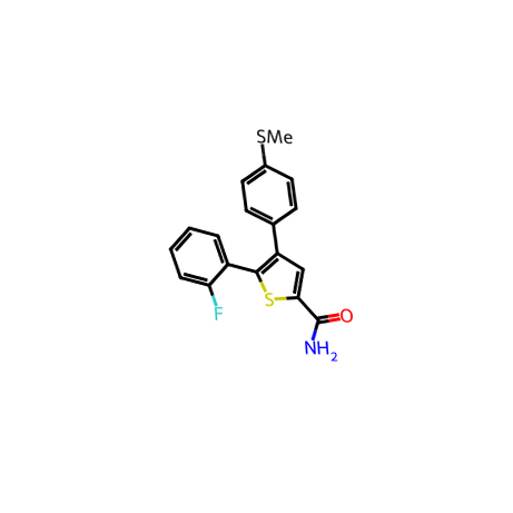 CSc1ccc(-c2cc(C(N)=O)sc2-c2ccccc2F)cc1